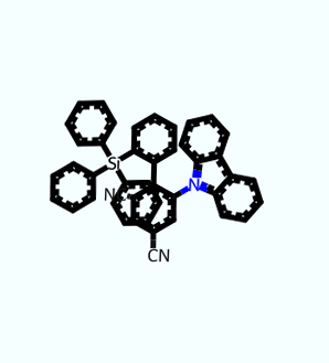 N#Cc1cc(C#N)c(-c2ccccc2[Si](c2ccccc2)(c2ccccc2)c2ccccc2)c(-n2c3ccccc3c3ccccc32)c1